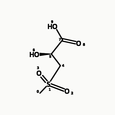 CS(=O)(=O)C[C@@H](O)C(=O)O